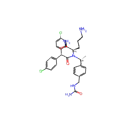 C[C@H](c1ccc(CNC(N)=O)cc1)N(C(=O)C(c1ccc(Cl)cc1)c1ccc(Cl)cc1)[C@H](CCCN)C(N)=O